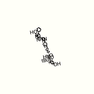 C[C@@H]1C[C@@H](O)CN1C(=O)[C@@H](NC(=O)[C@H]1CC2(C1)C[C@H](N1CCC(n3cc(-c4cc(-c5ccccc5O)nnc4N)cn3)CC1)C2)C(C)(C)C